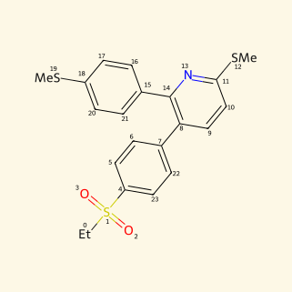 CCS(=O)(=O)c1ccc(-c2ccc(SC)nc2-c2ccc(SC)cc2)cc1